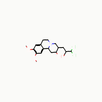 COc1cc2c(cc1OC)C1CC(O)C(CC(C)C(Cl)Cl)CN1CC2